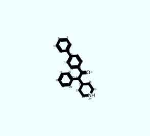 O=C(c1ccc(-c2ccccc2)cc1)C(c1ccccc1)C1CCNCC1